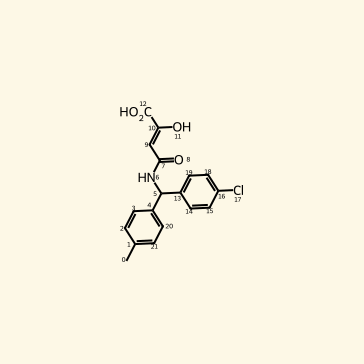 Cc1ccc(C(NC(=O)C=C(O)C(=O)O)c2ccc(Cl)cc2)cc1